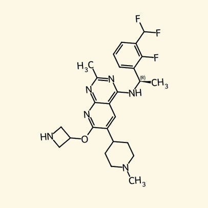 Cc1nc(N[C@H](C)c2cccc(C(F)F)c2F)c2cc(C3CCN(C)CC3)c(OC3CNC3)nc2n1